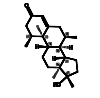 C[C@@H]1CC2=CC(=O)C[C@H](C)[C@]2(C)[C@H]2CC[C@@]3(C)[C@@H](CC[C@]3(C)O)[C@H]12